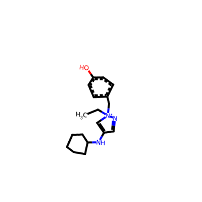 CC[N+]1(Cc2ccc(O)cc2)C=C(NC2CCCCC2)C=N1